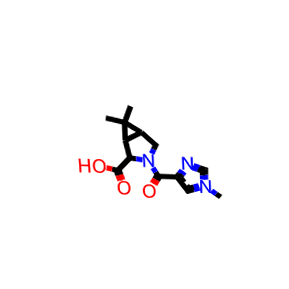 Cn1cnc(C(=O)N2CC3C(C2C(=O)O)C3(C)C)c1